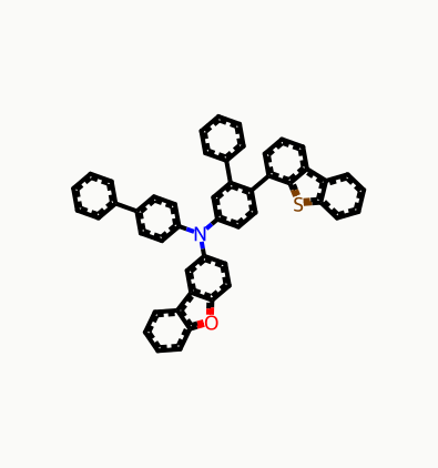 c1ccc(-c2ccc(N(c3ccc(-c4cccc5c4sc4ccccc45)c(-c4ccccc4)c3)c3ccc4oc5ccccc5c4c3)cc2)cc1